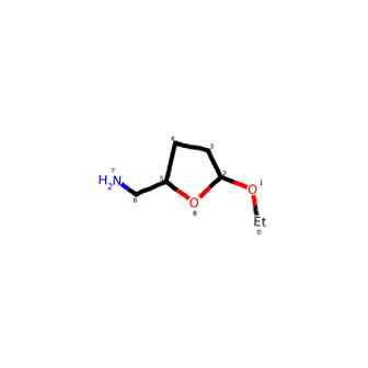 CCOC1CCC(CN)O1